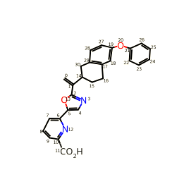 C=C(c1ncc(-c2cccc(C(=O)O)n2)o1)C1CCc2cc(Oc3ccccc3)ccc2C1